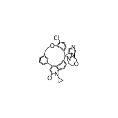 Cn1cncc1C1(N2CCOCC2)c2ccc(Cl)c(c2)OCCc2cccc(c2)-c2cc(=O)n(C3CC3)c3ccc1cc23